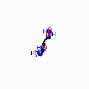 CN1CCC[C@@H]1c1cc2cnc(NC(=O)c3ccc(CCCC#Cc4cccc(C(=O)N[C@H]5CCC(=O)NC5=O)n4)cc3)cc2[nH]1